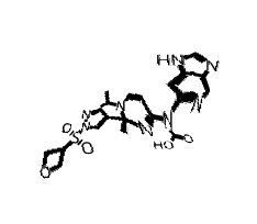 CC(C)N1C=CC(N(C(=O)O)c2cc3[nH]cnc3cn2)=NC1(C)c1cnn(S(=O)(=O)C2COC2)c1